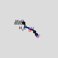 COc1ccc(CCN(C)CCCCNC(=O)C/C=C/c2ccc(-c3cc[n+]([O-])cc3)cc2)cc1OC